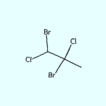 CC(Cl)(Br)C(Cl)Br